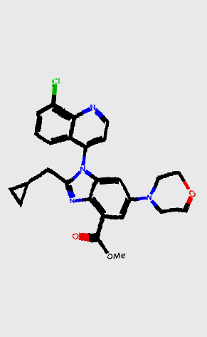 COC(=O)c1cc(N2CCOCC2)cc2c1nc(CC1CC1)n2-c1ccnc2c(Cl)cccc12